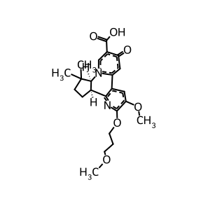 COCCCOc1nc2c(cc1OC)-c1cc(=O)c(C(=O)O)cn1[C@H]1[C@@H]2CCC1(C)C